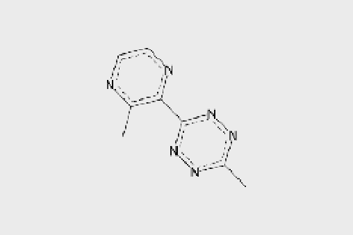 Cc1nnc(-c2nccnc2C)nn1